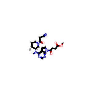 COC(=O)CCC(=O)n1ccc2c(N(C)[C@H]3CN(C(=O)CC#N)CC[C@H]3C)ncnc21